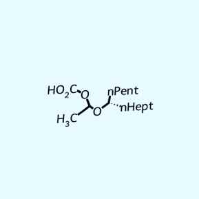 CCCCCCC[C@@H](CCCCC)OC(C)OC(=O)O